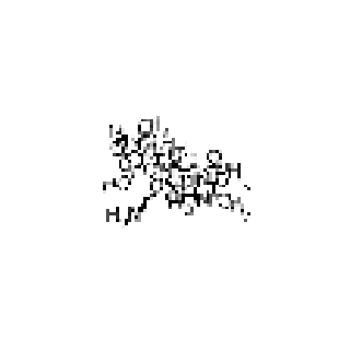 CC(=O)N[C@@H]1[C@@H](OC(C)CN(C(=O)CC[C@@H](NC(=O)[C@H](C)N)C(N)=O)[C@@H](OCCCN)C(=O)O)[C@H](O)[C@@H](CO)O[C@@H]1O